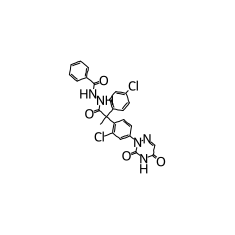 CC(C(=O)NNC(=O)c1ccccc1)(c1ccc(Cl)cc1)c1ccc(-n2ncc(=O)[nH]c2=O)cc1Cl